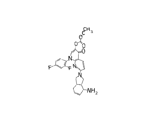 CCOC(=O)Oc1cn(-c2ccc(F)cc2F)c2nc(N3CC4CC=CC(N)C4C3)ccc2c1=O